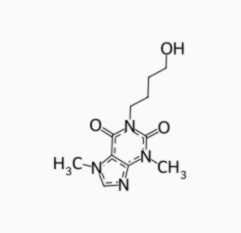 Cn1cnc2c1c(=O)n(CCCCO)c(=O)n2C